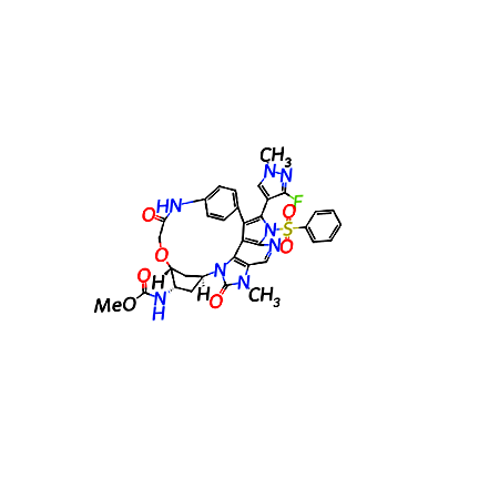 COC(=O)N[C@H]1C[C@H]2C[C@H]1OCC(=O)Nc1ccc(cc1)-c1c(-c3cn(C)nc3F)n(S(=O)(=O)c3ccccc3)c3ncc4c(c13)n2c(=O)n4C